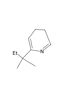 CCC(C)(C)C1=CCCC=N1